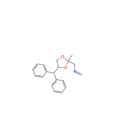 [CH]=NCC1(C)OCC(C(c2ccccc2)c2ccccc2)O1